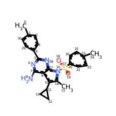 Cc1ccc(-c2nc(N)c3c(C4CC4)c(C)n(S(=O)(=O)c4ccc(C)cc4)c3n2)cc1